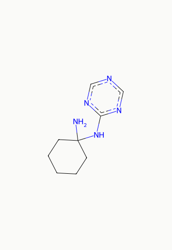 NC1(Nc2ncncn2)CCCCC1